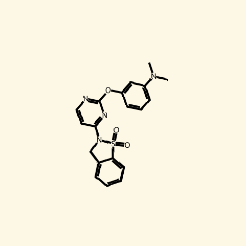 CN(C)c1cccc(Oc2nccc(N3Cc4ccccc4S3(=O)=O)n2)c1